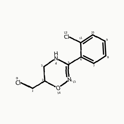 ClCC1CNC(c2ccccc2Cl)=NO1